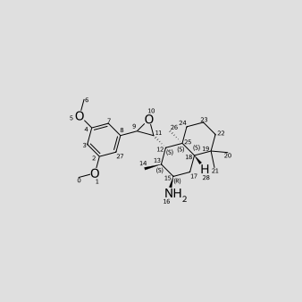 COc1cc(OC)cc(C2OC2[C@H]2[C@H](C)[C@H](N)C[C@H]3C(C)(C)CCC[C@]23C)c1